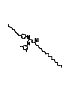 CCCCCCC=Cc1ccc(N=C(C=CCCCCCCCCCCCCCCCCCC)C=Nc2cc(C)cc(C)c2)cc1.[Ni]